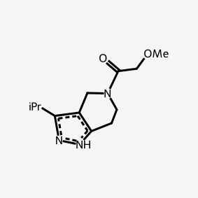 COCC(=O)N1CCc2[nH]nc(C(C)C)c2C1